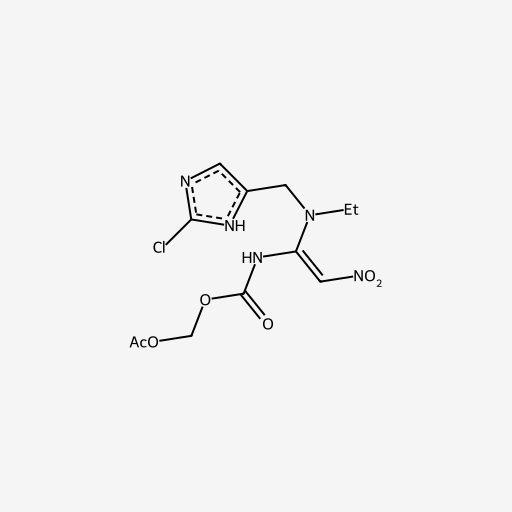 CCN(Cc1cnc(Cl)[nH]1)/C(=C\[N+](=O)[O-])NC(=O)OCOC(C)=O